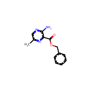 Cc1cnc(N)c(C(=O)OCc2ccccc2)n1